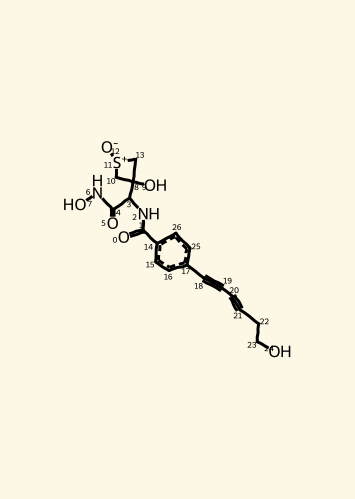 O=C(NC(C(=O)NO)C1(O)C[S+]([O-])C1)c1ccc(C#CC#CCCO)cc1